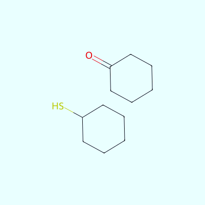 O=C1CCCCC1.SC1CCCCC1